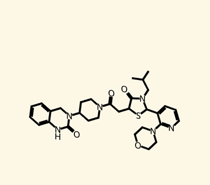 CC(C)CN1C(=O)C(CC(=O)N2CCC(N3Cc4ccccc4NC3=O)CC2)SC1c1cccnc1N1CCOCC1